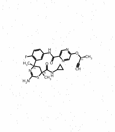 C#C[C@H](C)Oc1cnc(C(=O)Nc2ccc(F)c([C@]3(C)C[C@](C)(C(=O)NC4CC4)SC(N)=N3)c2)cn1